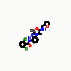 CC(C(=O)NCC1CCCO1)n1c(C(F)(F)F)nc2c(NC(=O)c3c(Cl)cccc3Cl)cccc21